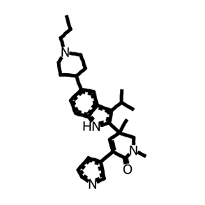 CCCN1CCC(c2ccc3[nH]c(C4(C)C=C(c5cccnc5)C(=O)N(C)C4)c(C(C)C)c3c2)CC1